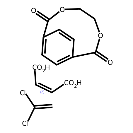 C=C(Cl)Cl.O=C(O)/C=C\C(=O)O.O=C1OCCOC(=O)c2ccc1cc2